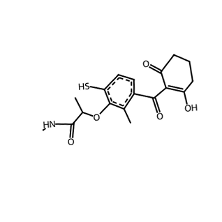 CNC(=O)C(C)Oc1c(S)ccc(C(=O)C2=C(O)CCCC2=O)c1C